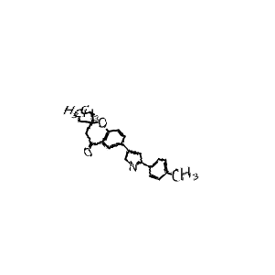 CCC1(CC)CC(=O)c2cc(C3=CC(c4ccc(C)cc4)=NC3)ccc2O1